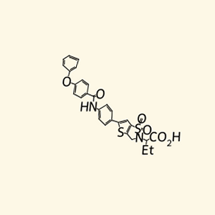 CCC(C(=O)O)N1Cc2sc(-c3ccc(NC(=O)c4ccc(Oc5ccccc5)cc4)cc3)cc2S1(=O)=O